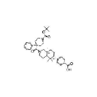 CC(C)(C)OC(=O)N1CCC(C(=O)N2CCC3C(C)(C)[C@@H](c4ccc(C(=O)O)cc4)CC[C@]3(C)C2)(c2ccccc2)CC1